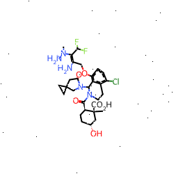 CN(N)/C(=C(\N)COc1ccc(Cl)c2c1C(N1CC3(CC3)CC1=O)N(C(=O)[C@@H]1CC[C@@H](O)C[C@]1(C)C(=O)O)CC2)C(F)F